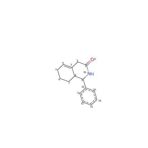 O=C1CC2=CCCCC2C(c2ccccc2)N1